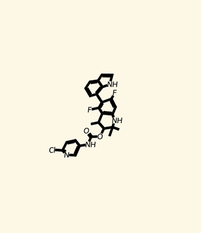 CC1c2c(cc(F)c(-c3cccc4cc[nH]c34)c2F)NC(C)(C)C1OC(=O)Nc1ccc(Cl)nc1